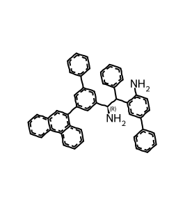 Nc1ccc(-c2ccccc2)cc1C(c1ccccc1)[C@@H](N)c1cc(-c2ccccc2)cc(-c2cc3ccccc3c3ccccc23)c1